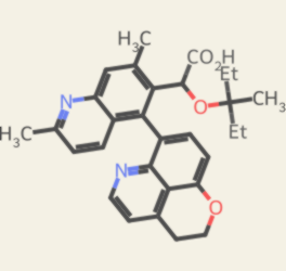 CCC(C)(CC)OC(C(=O)O)c1c(C)cc2nc(C)ccc2c1-c1ccc2c3c(ccnc13)CCO2